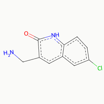 NCc1cc2cc(Cl)ccc2[nH]c1=O